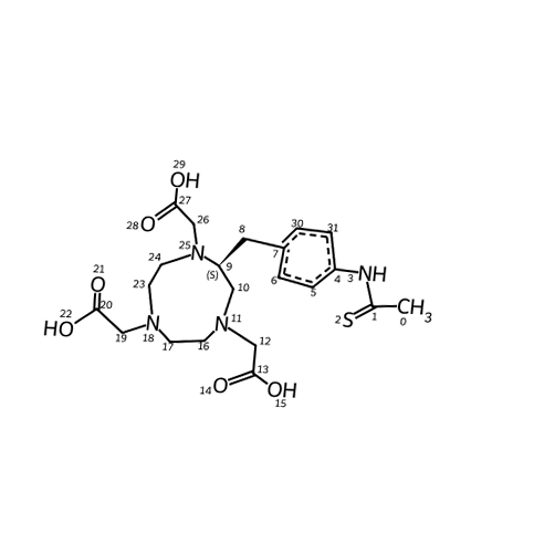 CC(=S)Nc1ccc(C[C@H]2CN(CC(=O)O)CCN(CC(=O)O)CCN2CC(=O)O)cc1